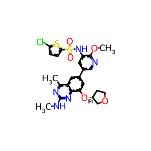 CNc1nc(C)c2cc(-c3cnc(OC)c(NS(=O)(=O)c4ccc(Cl)s4)c3)cc(O[C@@H]3CCOC3)c2n1